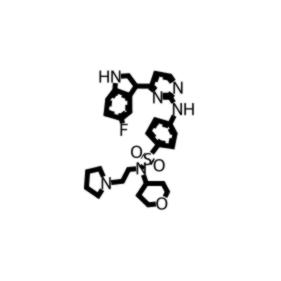 O=S(=O)(c1ccc(Nc2nccc(C3CNc4ccc(F)cc43)n2)cc1)N(CCN1CCCC1)C1CCOCC1